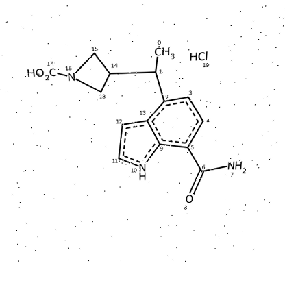 CC(c1ccc(C(N)=O)c2[nH]ccc12)C1CN(C(=O)O)C1.Cl